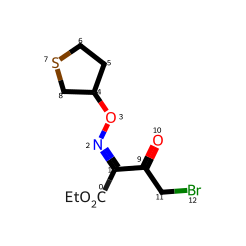 CCOC(=O)C(=NOC1CCSC1)C(=O)CBr